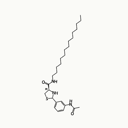 CCCCCCCCCCCCCCCNC(=O)[C@@H]1CSC(c2cccc(NC(C)=O)c2)N1